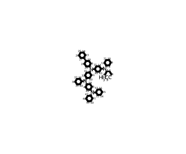 C/C=C\C(=C/C)N(c1ccccc1)c1ccc(N(c2ccc(-c3ccccc3)cc2)c2ccc(N(c3ccccc3)c3ccc(N(c4ccccc4)c4ccccc4)cc3)cc2)cc1